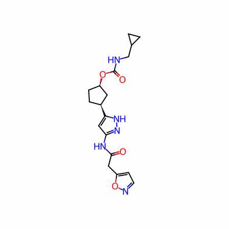 O=C(Cc1ccno1)Nc1cc([C@H]2CC[C@@H](OC(=O)NCC3CC3)C2)[nH]n1